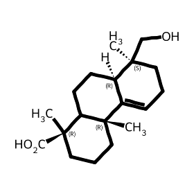 C[C@]1(CO)CCC=C2[C@H]1CCC1[C@](C)(C(=O)O)CCC[C@@]21C